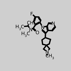 CC(C)N(C)C(=O)c1cc(F)ccc1-n1cc(C2CCC3(CC2)CN(C)C3)c2ccncc21